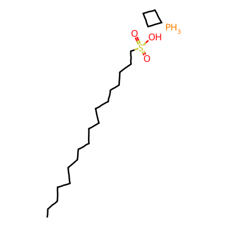 C1CCC1.CCCCCCCCCCCCCCCCCCS(=O)(=O)O.P